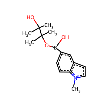 Cn1ccc2cc(B(O)OC(C)(C)C(C)(C)O)ccc21